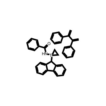 C=C(C(=C)c1ccccc1)c1ccccc1.O=C([NH][Ti]1([CH]2c3ccccc3-c3ccccc32)[CH2][CH2]1)c1ccccc1